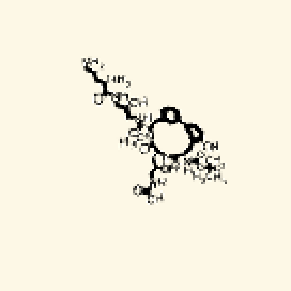 CN1C(=O)[C@H](C[C@@H](O)CNC(=O)O)NC(=O)[C@@H](NC(=O)OC(C)(C)C)Cc2cc(ccc2O)-c2cccc(c2)C[C@H]1C(=O)NCC(O)CNC(=O)[C@@H](N)CCCN